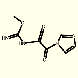 COC(=N)NC(=O)C(=O)n1ccnc1